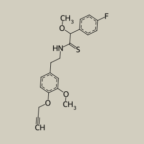 C#CCOc1ccc(CCNC(=S)C(OC)c2ccc(F)cc2)cc1OC